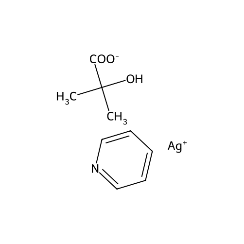 CC(C)(O)C(=O)[O-].[Ag+].c1ccncc1